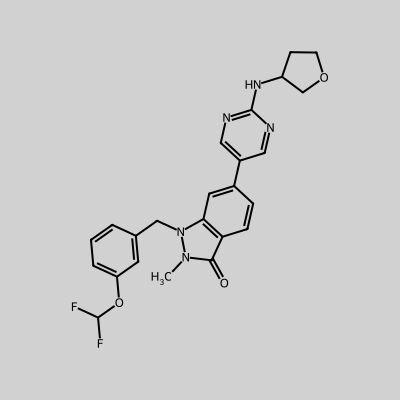 Cn1c(=O)c2ccc(-c3cnc(NC4CCOC4)nc3)cc2n1Cc1cccc(OC(F)F)c1